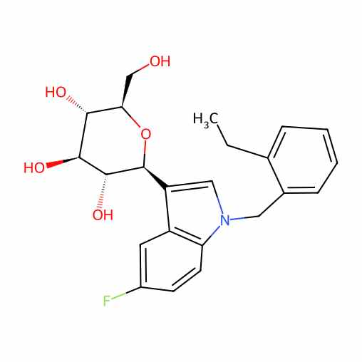 CCc1ccccc1Cn1cc([C@@H]2O[C@H](CO)[C@@H](O)[C@H](O)[C@H]2O)c2cc(F)ccc21